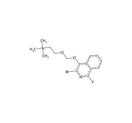 C[Si](C)(C)CCOCOc1c(Br)nc(F)c2ccccc12